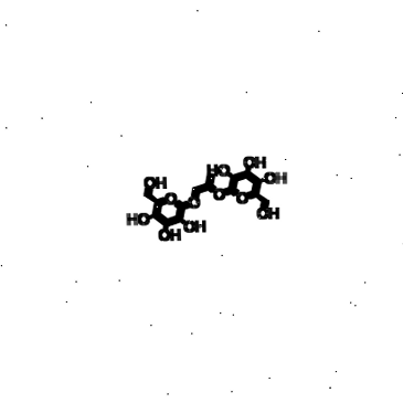 CC(COC1O[C@H](CO)[C@@H](O)[C@H](O)[C@H]1O)OC1O[C@H](CO)[C@@H](O)[C@H](O)[C@H]1O